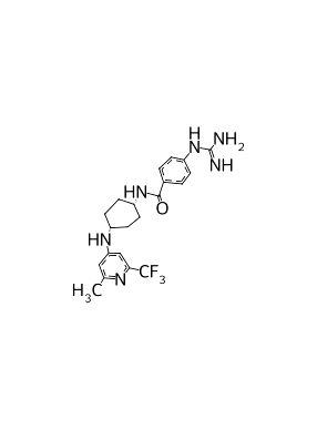 Cc1cc(N[C@H]2CC[C@@H](NC(=O)c3ccc(NC(=N)N)cc3)CC2)cc(C(F)(F)F)n1